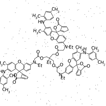 CCN(CC(=O)OCC(CC)(COC(=O)CN(CC)c1ccc2c(c1)Oc1cc(C)c(Nc3ccc(C)cc3C)cc1C21OC(=O)c2ccccc21)COC(=O)CN(CC)c1ccc2c(c1)Oc1cc(C)c(Nc3ccc(C)cc3C)cc1C21OC(=O)c2ccccc21)c1ccc2c(c1)Oc1cc(C)c(Nc3ccc(C)cc3C)cc1C21OC(=O)c2ccccc21